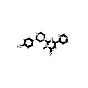 Cn1c(N2CCO[C@@H](c3ccc(C#N)cc3)C2)nc(-c2ccncn2)cc1=O